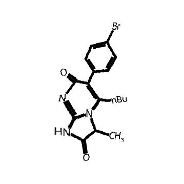 CCCCc1c(-c2ccc(Br)cc2)c(=O)nc2n1C(C)C(=O)N2